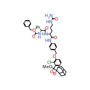 COC1(c2cccc(OCc3ccc(NC(=O)C(CCCNC(N)=O)NC(=O)C(NC(=O)OCc4ccccc4)C(C)C)cc3)c2Cl)OOC12C1CC3CC(C1)CC2C3